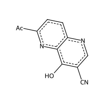 CC(=O)c1ccc2ncc(C#N)c(O)c2n1